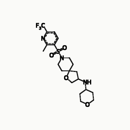 Cc1nc(C(F)(F)F)ccc1S(=O)(=O)N1CCC2(CC1)CC(NC1CCOCC1)CO2